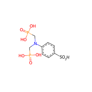 O=P(O)(O)CN(CP(=O)(O)O)c1ccc(S(=O)(=O)O)cc1